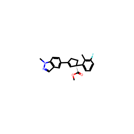 COC(=O)[C@]1(c2cccc(F)c2C)C=C(c2ccc3c(cnn3C)c2)CC1